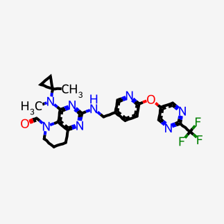 CN(c1nc(NCc2ccc(Oc3cnc(C(F)(F)F)nc3)nc2)nc2c1N(C=O)CCC2)C1(C)CC1